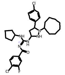 O=C(/N=C(/NC1CCCC1)NC1CC(c2ccc(Cl)cc2)N(C2CCCCCCC2)N1)c1ccc(Cl)c(F)c1